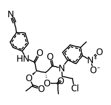 CC(=O)O[C@@H](C(=O)Nc1ccc(C#N)cc1)[C@@H](OC(C)=O)C(=O)N(CCCl)c1ccc(C)c([N+](=O)[O-])c1